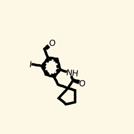 O=Cc1cc2c(cc1I)CC1(CCCC1)C(=O)N2